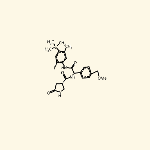 COCc1ccc([C@@H](NC(=O)[C@H]2CNC(=O)C2)C(=O)Nc2cc(C)c(S(C)(C)C)cc2F)cc1